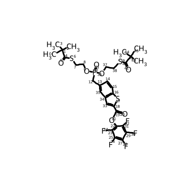 CC(C)(C)C(=O)SCCOP(=O)(Cc1ccc2sc(C(=O)Oc3c(F)c(F)c(F)c(F)c3F)cc2c1)OCCSC(=O)C(C)(C)C